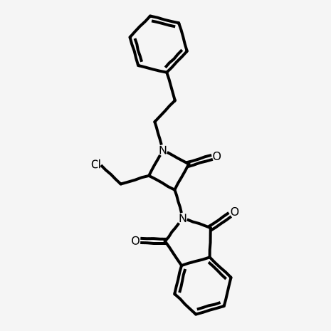 O=C1C(N2C(=O)c3ccccc3C2=O)C(CCl)N1CCc1ccccc1